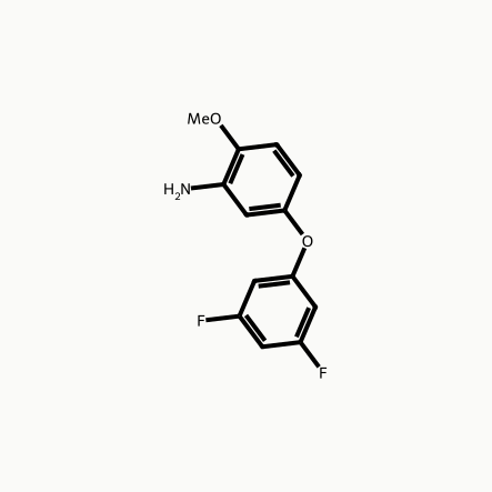 COc1ccc(Oc2cc(F)cc(F)c2)cc1N